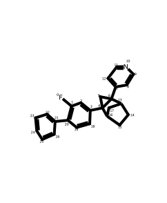 Fc1cc(C23CC2(c2ccncc2)C2CCC3C2)ccc1-c1ccccc1